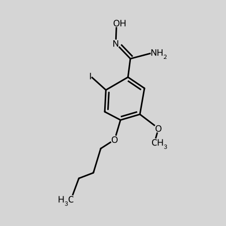 CCCCOc1cc(I)c(/C(N)=N/O)cc1OC